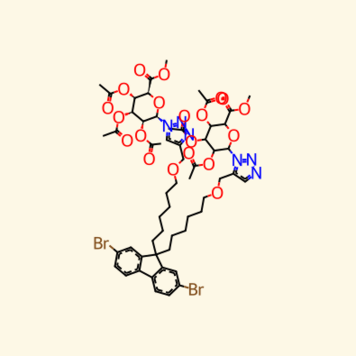 COC(=O)C1OC(n2nncc2COCCCCCCC2(CCCCCCOCc3cn([C@@H]4O[C@H](C(=O)OC)[C@H](OC(C)=O)[C@H](OC(C)=O)[C@@H]4OC(C)=O)nn3)c3cc(Br)ccc3-c3ccc(Br)cc32)C(OC(C)=O)C(OC(C)=O)C1OC(C)=O